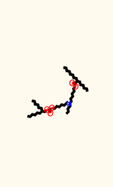 CCCCCCCCC(CCCCCC)C(=O)OCCCCCCN(CCCC)CCCCCCOC(=O)OCC(CCCCCC)CCCCCC